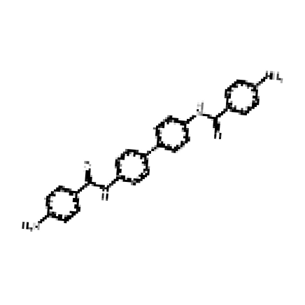 Nc1ccc(C(=O)Nc2ccc(-c3ccc(NC(=O)c4ccc(N)cc4)cc3)cc2)cc1